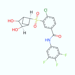 O=C(Nc1cc(F)c(F)c(F)c1)c1ccc(Cl)c(S(=O)(=O)[C@@H]2C3CC2[C@@H](O)C3O)c1